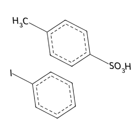 Cc1ccc(S(=O)(=O)O)cc1.Ic1ccccc1